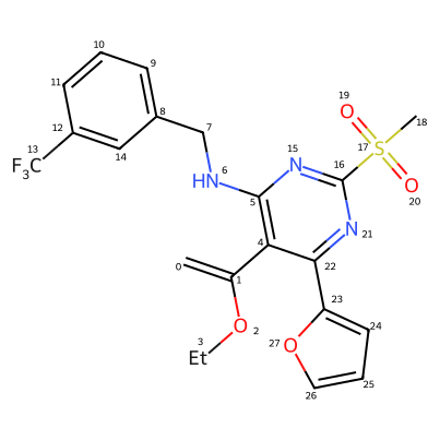 C=C(OCC)c1c(NCc2cccc(C(F)(F)F)c2)nc(S(C)(=O)=O)nc1-c1ccco1